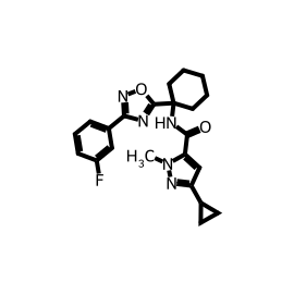 Cn1nc(C2CC2)cc1C(=O)NC1(c2nc(-c3cccc(F)c3)no2)CCCCC1